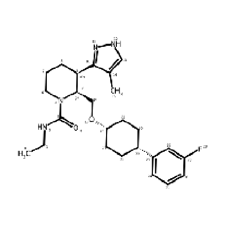 CCNC(=O)N1CCC[C@@H](c2n[nH]cc2C)[C@H]1CO[C@H]1CC[C@@H](c2cccc(F)c2)CC1